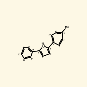 Fc1ccc(-c2ccc(-c3ccccc3)o2)cc1